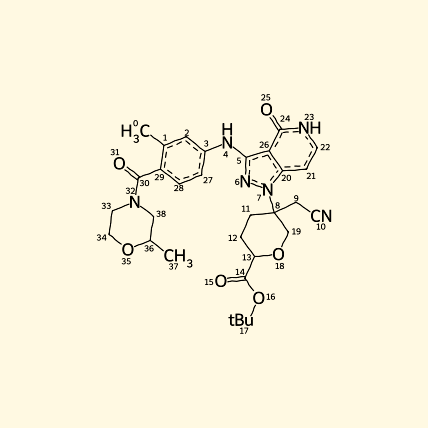 Cc1cc(Nc2nn(C3(CC#N)CCC(C(=O)OC(C)(C)C)OC3)c3cc[nH]c(=O)c23)ccc1C(=O)N1CCOC(C)C1